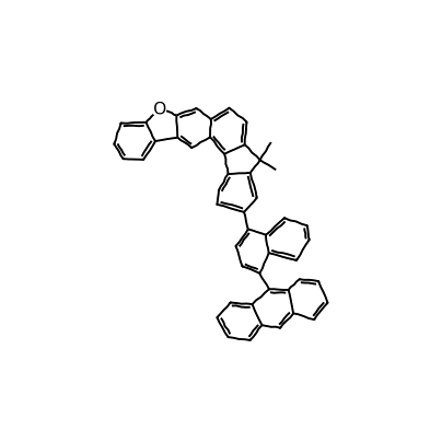 CC1(C)c2cc(-c3ccc(-c4c5ccccc5cc5ccccc45)c4ccccc34)ccc2-c2c1ccc1cc3oc4ccccc4c3cc21